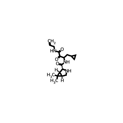 C=CCNC(=O)C(=O)C(CC1CC1)NC(=O)[C@H]1NC[C@H]2[C@@H]1C2(C)C